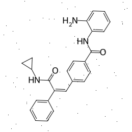 Nc1ccccc1NC(=O)c1ccc(C=C(C(=O)NC2CC2)c2ccccc2)cc1